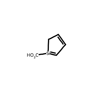 O=C(O)[Si]1=CC=CC1